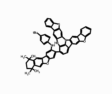 CC(C)(C)c1ccc(Nc2cc3c(cc2-c2ccc4c5cc6oc7ccccc7c6cc5n5c4c2Bc2cc4c(cc2-5)sc2ccccc24)oc2cc4c(cc23)C(C)(C)CCC4(C)C)cc1